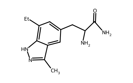 CCc1cc(CC(N)C(N)=O)cc2c(C)n[nH]c12